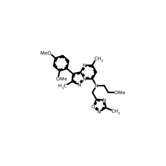 COCCN(Cc1nc(C)no1)c1cc(C)nc2c(-c3ccc(OC)cc3OC)c(C)nn12